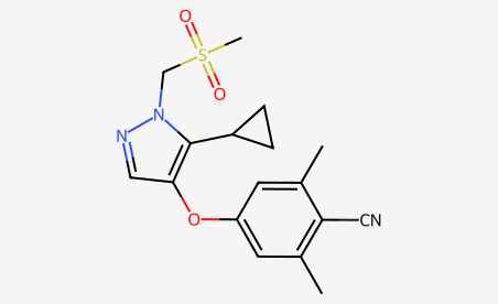 Cc1cc(Oc2cnn(CS(C)(=O)=O)c2C2CC2)cc(C)c1C#N